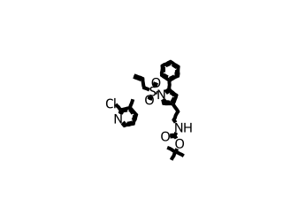 C=CCS(=O)(=O)n1cc(CCNC(=O)OC(C)(C)C)cc1-c1ccccc1.Cc1cccnc1Cl